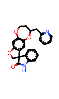 O=C1Nc2ccccc2C12COc1cc3c(cc12)OC(Cc1ccccn1)CCO3